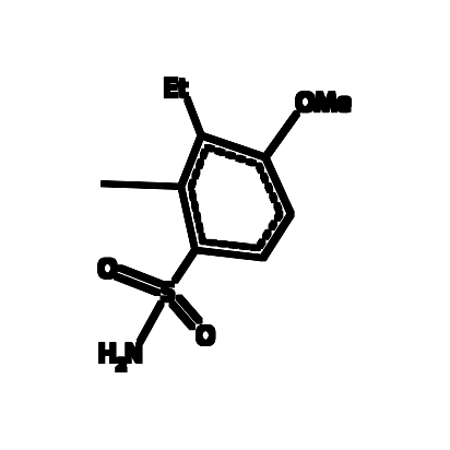 CCc1c(OC)ccc(S(N)(=O)=O)c1C